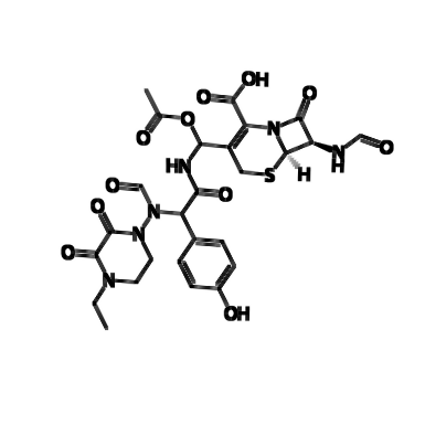 CCN1CCN(N(C=O)C(C(=O)NC(OC(C)=O)C2=C(C(=O)O)N3C(=O)[C@@H](NC=O)[C@H]3SC2)c2ccc(O)cc2)C(=O)C1=O